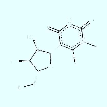 Cc1c([C@@H]2O[C@H](CO)[C@@H](O)[C@H]2O)c(=O)[nH]c(=O)n1C